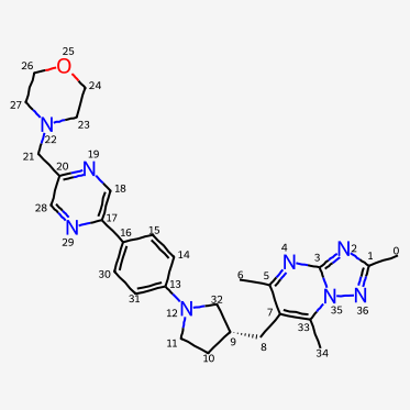 Cc1nc2nc(C)c(C[C@@H]3CCN(c4ccc(-c5cnc(CN6CCOCC6)cn5)cc4)C3)c(C)n2n1